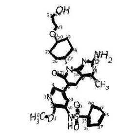 COc1ncc(-c2cc3c(C)nc(N)nc3n([C@H]3CC[C@H](OCCO)CC3)c2=O)cc1NS(=O)(=O)c1ccccc1